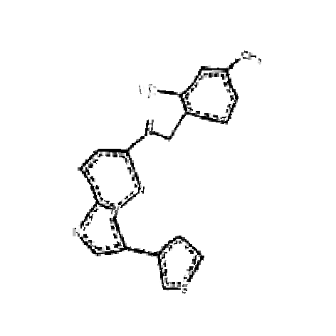 Cc1ccc(CNc2ccc3ncc(-c4ccsc4)n3n2)c(C)c1